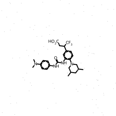 CC1CC(C)CN(c2ccc(C(CC(=O)O)C(F)(F)F)cc2NC(=O)Nc2ccc(N(C)C)cc2)C1